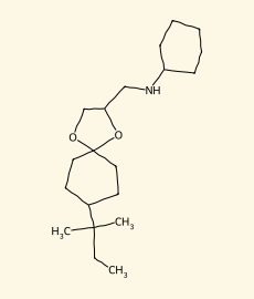 CCC(C)(C)C1CCC2(CC1)OCC(CNC1CCCCC1)O2